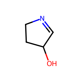 OC1C=NCC1